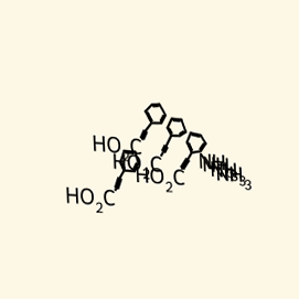 N.N.N.N.O=C(O)C#Cc1ccccc1.O=C(O)C#Cc1ccccc1.O=C(O)C#Cc1ccccc1.O=C(O)C#Cc1ccccc1